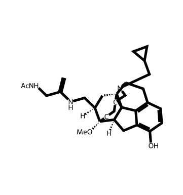 C=C(CNC(C)=O)NC[C@H]1C[C@@]23CCC[C@@]1(OC)[C@@H]1Cc4c(O)ccc5c4C12CCN(CC1CC1)C3C5